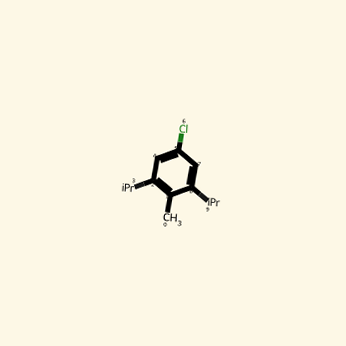 Cc1c(C(C)C)cc(Cl)cc1C(C)C